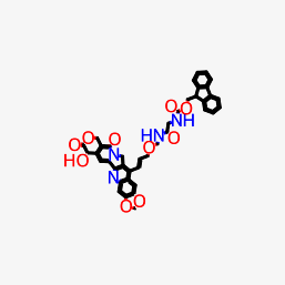 O=C(CNC(=O)OCC1c2ccccc2-c2ccccc21)NCOC/C=C/c1c2c(nc3cc4c(cc13)OCO4)-c1cc3c(c(=O)n1C2)COC(=O)C3O